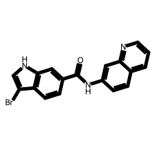 O=C(Nc1ccc2cccnc2c1)c1ccc2c(Br)c[nH]c2c1